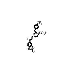 O=C(CCN1CCN(C(=O)O)C(F)(Cc2ccc(C(F)(F)F)cc2)C1)c1ccc2[nH]c(=O)oc2c1